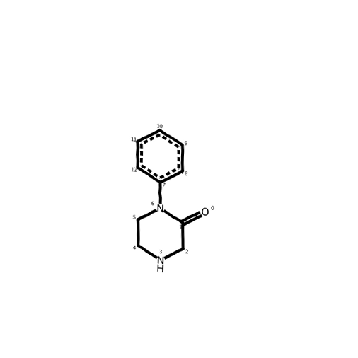 O=C1CNCCN1c1[c]cccc1